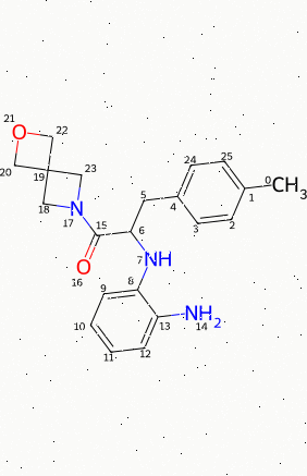 Cc1ccc(CC(Nc2ccccc2N)C(=O)N2CC3(COC3)C2)cc1